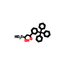 O=C(CC(O)C(=O)O)c1cccc(C(c2ccccc2)(c2ccccc2)c2ccccc2)c1